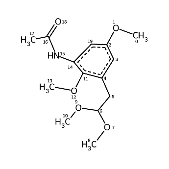 COc1cc(CC(OC)OC)c(OC)c(NC(C)=O)c1